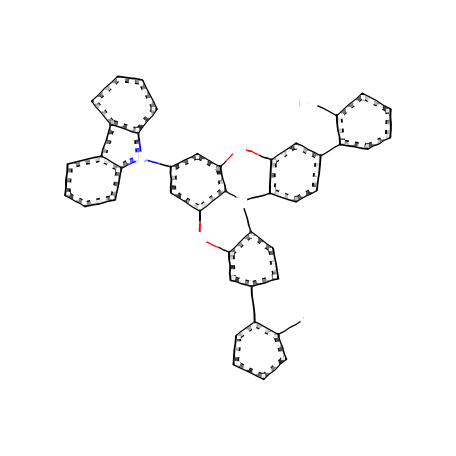 Cc1ccccc1-c1ccc2c(c1)Oc1cc(-n3c4ccccc4c4ccccc43)cc3c1B2c1ccc(-c2ccccc2C)cc1O3